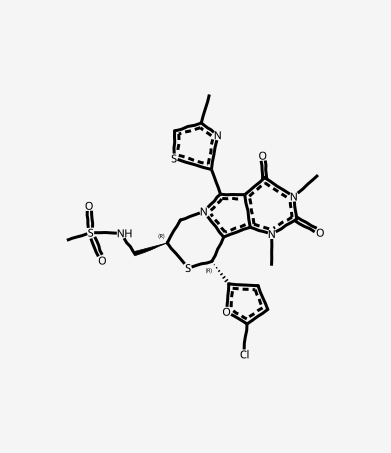 Cc1csc(-c2c3c(=O)n(C)c(=O)n(C)c3c3n2C[C@H](CNS(C)(=O)=O)S[C@H]3c2ccc(Cl)o2)n1